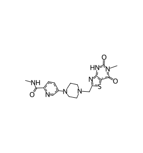 CNC(=O)c1ccc(N2CCN(Cc3nc4[nH]c(=O)n(C)c(=O)c4s3)CC2)cn1